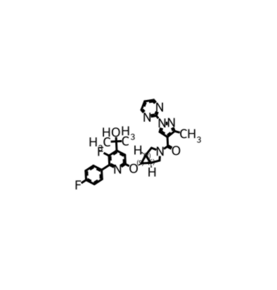 Cc1nn(-c2ncccn2)cc1C(=O)N1C[C@@H]2[C@H](C1)[C@H]2Oc1cc(C(C)(C)O)c(F)c(-c2ccc(F)cc2)n1